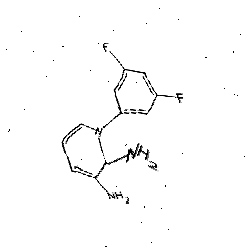 NC1=CC=CN(c2cc(F)cc(F)c2)C1N